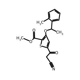 COC(=O)c1sc(C(=O)CC#N)cc1OC(C)c1ccccc1C